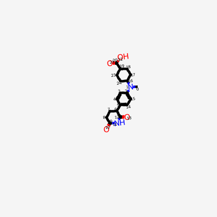 CN(c1ccc(C2CCC(=O)NC2=O)cc1)C1CCC(C(=O)O)CC1